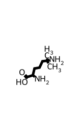 CC(C)(N)CCCC(N)C(=O)O